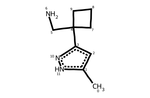 Cc1cc(C2(CN)CCC2)n[nH]1